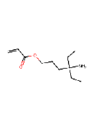 C=CC(=O)OCCCC([SiH3])(CC)CC